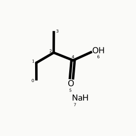 CCC(C)C(=O)O.[NaH]